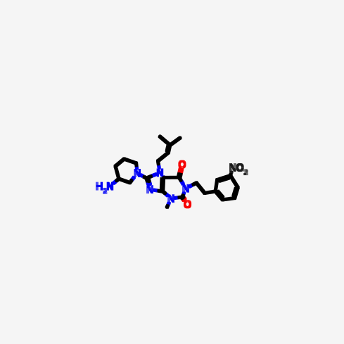 CC(C)=CCn1c(N2CCCC(N)C2)nc2c1c(=O)n(CCc1cccc([N+](=O)[O-])c1)c(=O)n2C